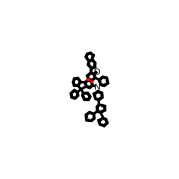 c1ccc(-c2ccc(-c3ccc(N(c4ccc5c(c4)C(c4ccccc4)(c4ccccc4)c4ccccc4-5)c4ccccc4-c4cccc5c4oc4cc6ccccc6cc45)cc3)cc2-c2ccccc2)cc1